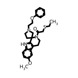 CCSCC(=O)N1CCc2c([nH]c3ccc(OC)cc23)C12CCN(CCOc1ccccc1)C2